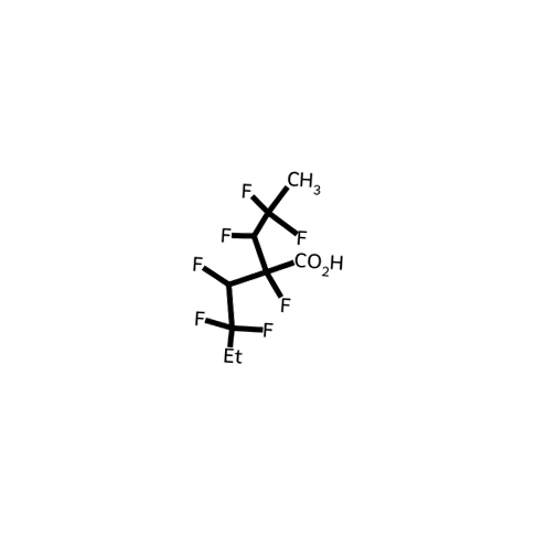 CCC(F)(F)C(F)C(F)(C(=O)O)C(F)C(C)(F)F